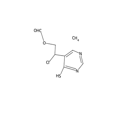 C.O=COCC(Cl)c1cncnc1S